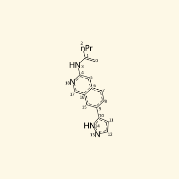 C=C(CCC)Nc1cc2ccc(-c3ccn[nH]3)cc2cn1